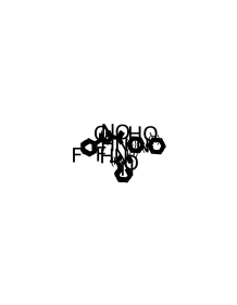 C[C@@H](NC(=O)[C@H]1CN([C@H]2CCCC[C@H]2O)CC[C@@H]1NC(=O)c1cc(-c2ccc(F)cc2F)on1)c1ccccn1